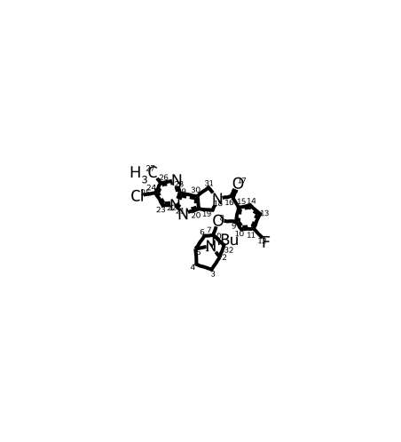 CCCCN1C2CCC1CC(Oc1cc(F)ccc1C(=O)N1Cc3nn4cc(Cl)c(C)nc4c3C1)C2